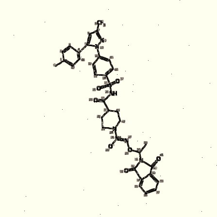 Cc1ccc(-c2cc(C(F)(F)F)nn2-c2ccc(S(=O)(=O)NC(=O)C3CCN([N+]([O-])=NOC(C)N4C(=O)c5ccccc5C4=O)CC3)cc2)cc1